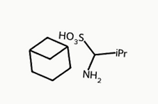 C1CC2CC(C1)C2.CC(C)C(N)S(=O)(=O)O